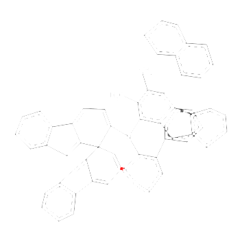 Cc1c(C)c(N(C2=CC=C3C(=Cc4ccccc43)C23C=CC=C2C3=Cc3ccccc32)c2ccccc2-c2ccccc2)c2c(c1-c1cccc3ccccc13)-c1ccccc1C2